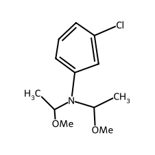 COC(C)N(c1cccc(Cl)c1)C(C)OC